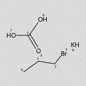 CCCBr.O=C(O)O.[KH]